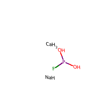 OP(O)F.[CaH2].[NaH]